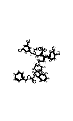 O=C(OCc1ccccc1)N1CC2(CCN(CCC(/C(COCc3cc(Cl)cc(Cl)c3)=N/O)c3ccc(Cl)c(Cl)c3)CC2)c2ccccc21